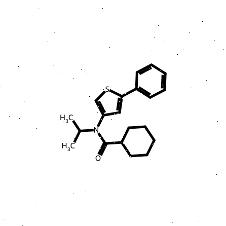 CC(C)N(C(=O)C1CCCCC1)c1csc(-c2ccccc2)c1